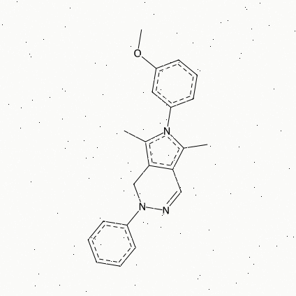 COc1cccc(-n2c(C)c3c(c2C)CN(c2ccccc2)N=C3)c1